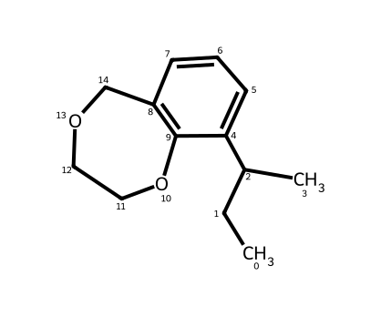 CCC(C)c1cccc2c1OCCOC2